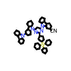 N#Cc1ccc2c3ccccc3n(-c3cc(-n4c5ccccc5c5cc(-n6c7ccccc7c7ccccc76)ccc54)nc(-c4ccc(S(c5ccccc5)(c5ccccc5)c5ccccc5)cc4)n3)c2c1